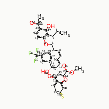 CCCc1c(OCC/C=C\C=C\[C@H](c2c(C(=O)OC)oc3c(c2=O)=CCC(=S)C=3)[C@H](O)c2cccc(C(F)(F)F)c2)ccc(C(C)=O)c1O